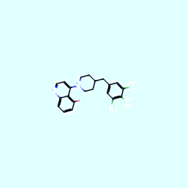 [O]c1cccc2nccc(N3CCC(Cc4cc(Cl)c(Cl)c(Cl)c4)CC3)c12